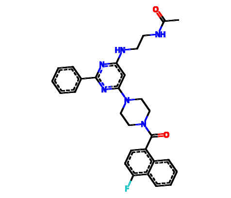 CC(=O)NCCNc1cc(N2CCN(C(=O)c3ccc(F)c4ccccc34)CC2)nc(-c2ccccc2)n1